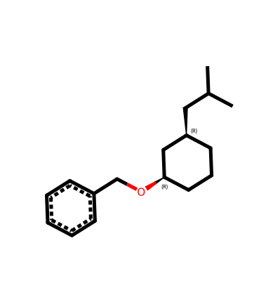 CC(C)C[C@H]1CCC[C@@H](OCc2ccccc2)C1